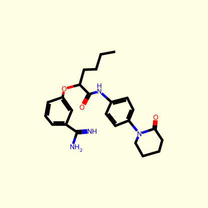 CCCCC(Oc1cccc(C(=N)N)c1)C(=O)Nc1ccc(N2CCCCC2=O)cc1